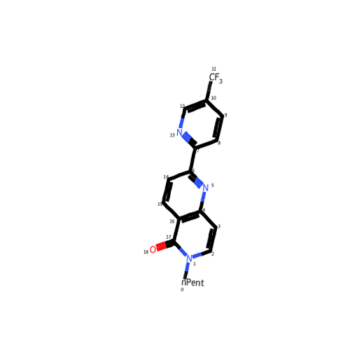 CCCCCn1ccc2nc(-c3ccc(C(F)(F)F)cn3)ccc2c1=O